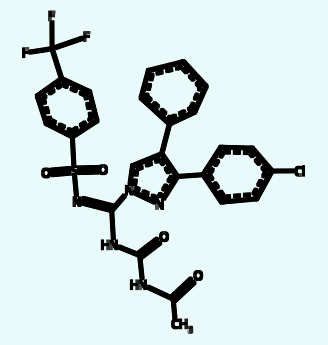 CC(=O)NC(=O)N/C(=N/S(=O)(=O)c1ccc(C(F)(F)F)cc1)n1cc(-c2ccccc2)c(-c2ccc(Cl)cc2)n1